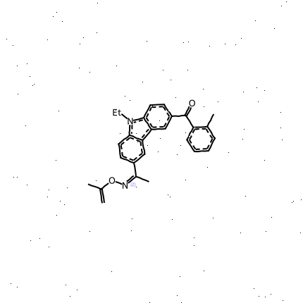 C=C(C)O/N=C(/C)c1ccc2c(c1)c1cc(C(=O)c3ccccc3C)ccc1n2CC